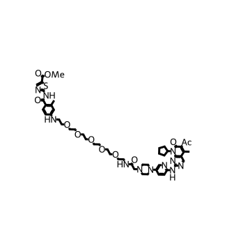 COC(=O)c1cnc(NC(=O)c2ccc(NCCOCCOCCOCCOCCOCCNC(=O)CN3CCN(c4ccc(Nc5ncc6c(C)c(C(C)=O)c(=O)n(C7CCCC7)c6n5)nc4)CC3)cc2C)s1